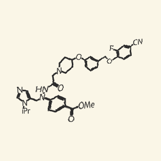 COC(=O)c1ccc(N(Cc2cncn2C(C)C)NC(=O)CN2CCC(Oc3cccc(COc4ccc(C#N)cc4F)c3)CC2)cc1